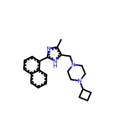 Cc1nc(-c2cccc3ccccc23)[nH]c1CN1CCN(C2CCC2)CC1